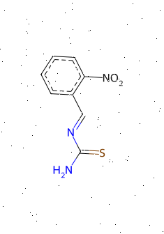 NC(=S)N=Cc1ccccc1[N+](=O)[O-]